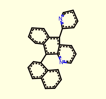 c1ccc(-c2c3ccccc3c(-c3cccc4ccccc34)c3ncccc23)nc1